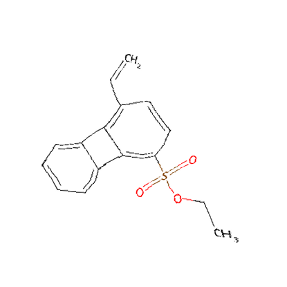 C=Cc1ccc(S(=O)(=O)OCC)c2c1-c1ccccc1-2